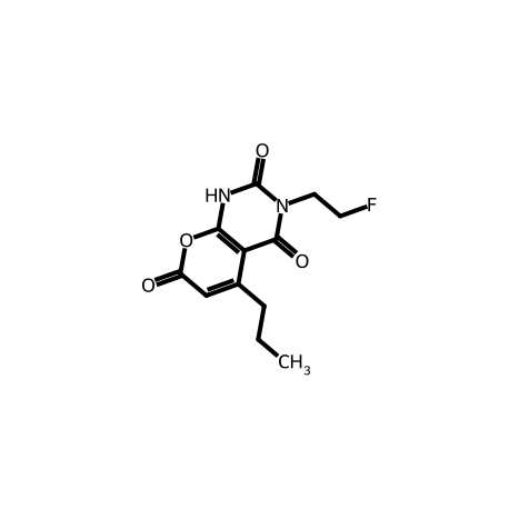 CCCc1cc(=O)oc2[nH]c(=O)n(CCF)c(=O)c12